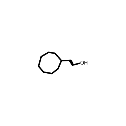 OC=CC1CCCCCCC1